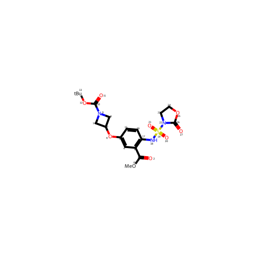 COC(=O)c1cc(OC2CN(C(=O)OC(C)(C)C)C2)ccc1NS(=O)(=O)N1CCOC1=O